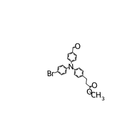 COC(=O)CCc1ccc(N(c2ccc(Br)cc2)c2ccc(C=O)cc2)cc1